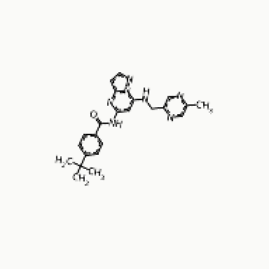 Cc1cnc(CNc2cc(NC(=O)c3ccc(C(C)(C)C)cc3)nc3ccnn23)cn1